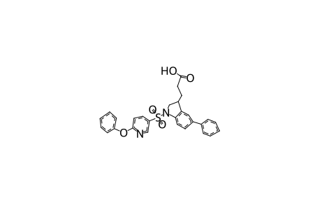 O=C(O)CCC1CN(S(=O)(=O)c2ccc(Oc3ccccc3)nc2)c2ccc(-c3ccccc3)cc21